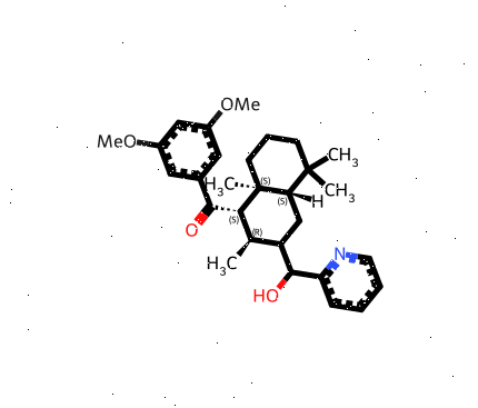 COc1cc(OC)cc(C(=O)[C@H]2[C@H](C)C(C(O)c3ccccn3)C[C@H]3C(C)(C)CCC[C@]23C)c1